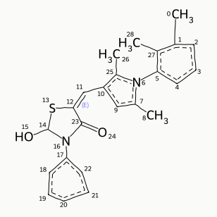 Cc1cccc(-n2c(C)cc(/C=C3/SC(O)N(c4ccccc4)C3=O)c2C)c1C